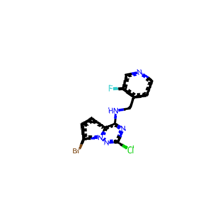 Fc1cnccc1CNc1nc(Cl)nn2c(Br)ccc12